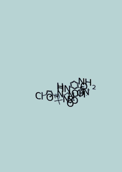 CN(C)S(=O)(=O)c1c(N)ccc(NC2=NS(=O)(=O)N=C2N[C@@H](c2ccc(Cl)o2)C(C)(C)C)c1O